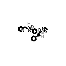 O=C(Nc1nccs1)[C@]1(C2C=CC(S(=O)(=O)NCCc3ccccn3)=CC2)C[C@H]1C1CCCCC1